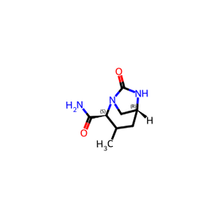 CC1C[C@@H]2CN(C(=O)N2)[C@@H]1C(N)=O